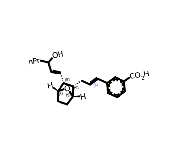 CCCC(O)C=C[C@@H]1[C@H](C/C=C/c2cccc(C(=O)O)c2)[C@@H]2CC[C@H]1O2